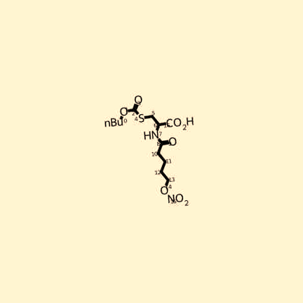 CCCCOC(=O)SCC(NC(=O)CCCCO[N+](=O)[O-])C(=O)O